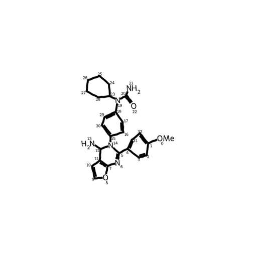 COc1ccc(C2=Nc3occc3C(N)N2c2ccc(N(C(N)=O)C3CCCCC3)cc2)cc1